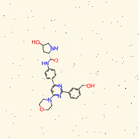 O=C(Nc1ccc(-c2cc(N3CCOCC3)nc(-c3cccc(CO)c3)n2)cc1)[C@@H]1C[C@@H](O)CN1